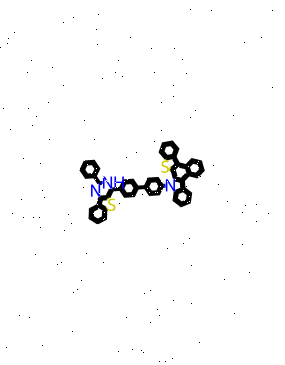 c1ccc(C2N=c3c(sc4ccccc34)=C(c3ccc(-c4ccc(-n5c6ccccc6c6c7ccccc7c7c8ccccc8sc7c65)cc4)cc3)N2)cc1